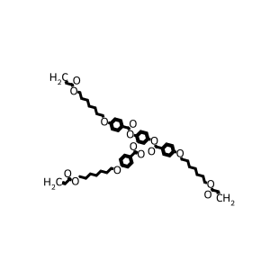 C=CC(=O)OCCCCCCCOc1ccc(C(=O)Oc2ccc(OC(=O)c3ccc(OCCCCCCCOC(=O)C=C)cc3)c(OC(=O)c3ccc(OCCCCCCCOC(=O)C=C)cc3)c2)cc1